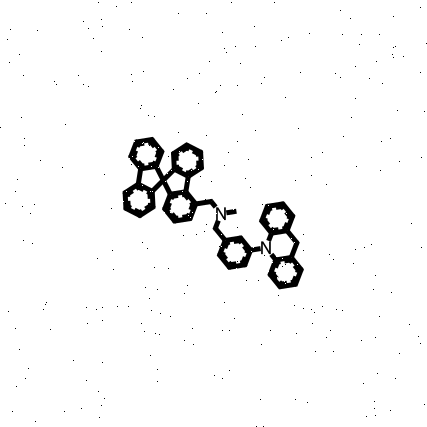 CN(Cc1cccc(N2c3ccccc3Cc3ccccc32)c1)Cc1cccc2c1-c1ccccc1C21c2ccccc2-c2ccccc21